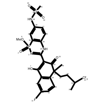 COP1(=O)N=C(C2=C(O)c3cc(F)ccc3C(C)(CCC(C)C(F)(F)F)C2=O)Nc2ccc(NS(C)(=O)=O)cc21